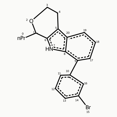 CCC[C]1OCCc2c1[nH]c1c(-c3cccc(Br)c3)cccc21